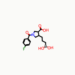 O=C(O)C1CN(C(=O)c2ccc(F)cc2)CC1CCCB(O)O